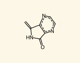 C=C1NC(=O)c2nccnc21